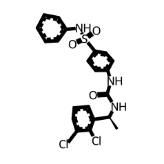 C[C@H](NC(=O)Nc1ccc(S(=O)(=O)Nc2ccccc2)cc1)c1cccc(Cl)c1Cl